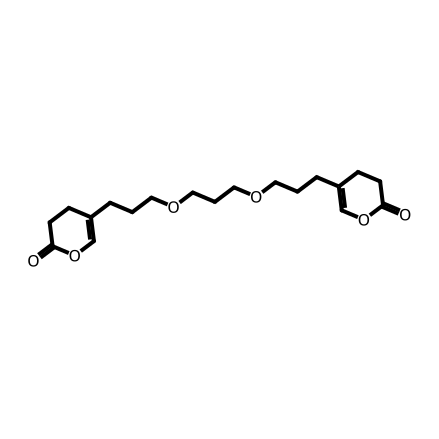 O=C1CCC(CCCOCCCOCCCC2=COC(=O)CC2)=CO1